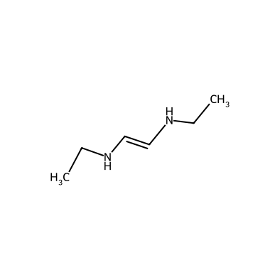 CCNC=CNCC